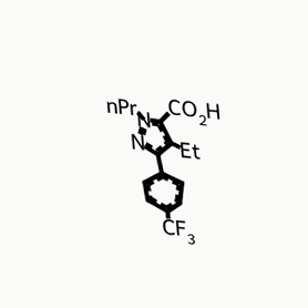 CCCn1nc(-c2ccc(C(F)(F)F)cc2)c(CC)c1C(=O)O